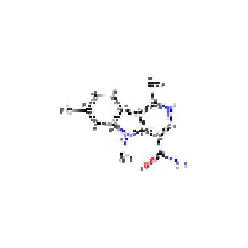 COc1ncc(C(N)=O)c2c1c1ccc(C(F)(F)F)cc1n2C